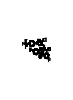 O=C(NCc1cn(-c2ccc(C(F)(F)F)cc2)nc1Cl)[C@@H]1C[C@@H](F)CN1S(=O)(=O)c1ccc(F)cc1